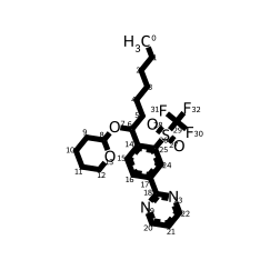 CCCCCCC(OC1CCCCO1)c1ccc(-c2ncccn2)cc1S(=O)(=O)C(F)(F)F